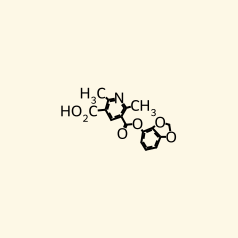 Cc1nc(C)c(C(=O)Oc2cccc3c2OCO3)cc1C(=O)O